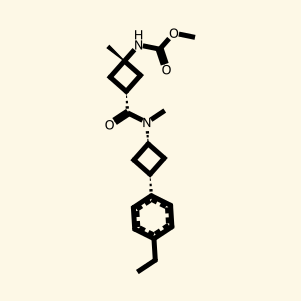 CCc1ccc([C@H]2C[C@@H](N(C)C(=O)[C@H]3C[C@@](C)(NC(=O)OC)C3)C2)cc1